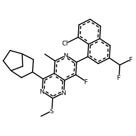 CSc1nc(C2CC3CCC(C3)C2)c2c(C)nc(-c3cc(C(F)F)cc4cccc(Cl)c34)c(F)c2n1